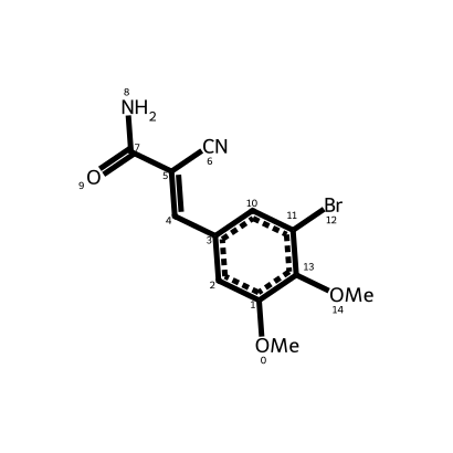 COc1cc(/C=C(\C#N)C(N)=O)cc(Br)c1OC